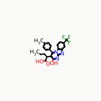 CCCC(C(=O)O)c1c(O)nc2nc3cc(C(F)(F)F)ccc3n2c1-c1ccc(C)cc1